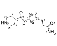 NC(=O)CSc1cnc(NC(=O)C2CCNCC2)s1